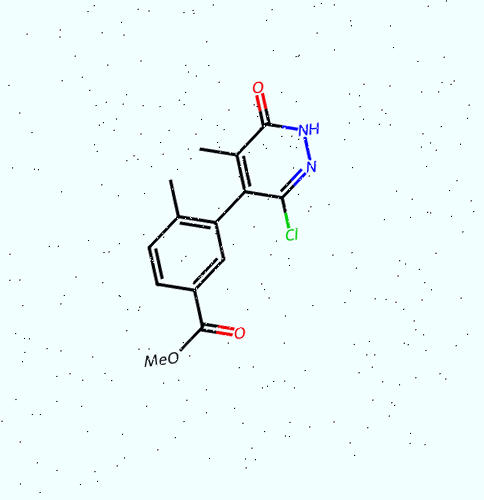 COC(=O)c1ccc(C)c(-c2c(Cl)n[nH]c(=O)c2C)c1